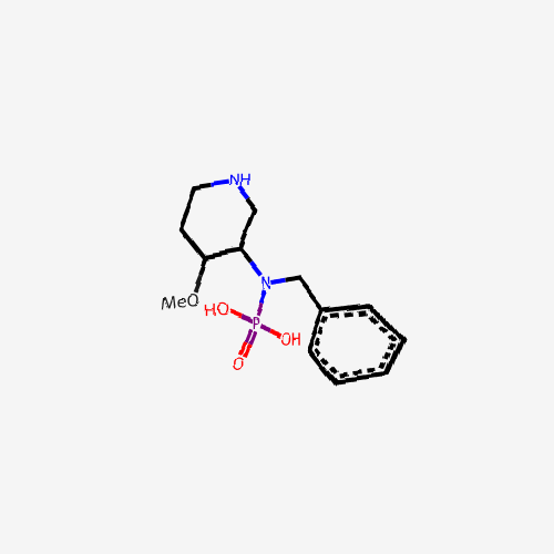 COC1CCNCC1N(Cc1ccccc1)P(=O)(O)O